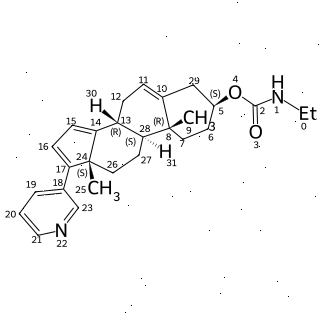 CCNC(=O)O[C@H]1CC[C@@]2(C)C(=CC[C@H]3C4=CC=C(c5cccnc5)[C@@]4(C)CC[C@@H]32)C1